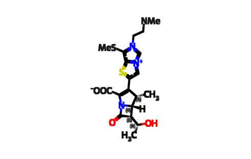 CNCCn1c[n+]2cc(C3=C(C(=O)[O-])N4C(=O)[C@H]([C@@H](C)O)[C@H]4[C@H]3C)sc2c1SC